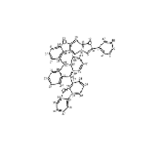 c1ccc(-c2cc3cc4c(cc3o2)oc2cccc(-c3c5ccccc5c(-c5cccc6c5oc5ccccc56)c5ccccc35)c24)cc1